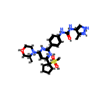 Cc1n[nH]cc1NC(=O)Nc1ccc(-c2nc(N3CCOC[C@@H]3C)cc(C3(S(C)(=O)=O)CCCC3)n2)cc1